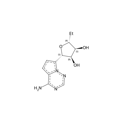 CC[C@H]1O[C@@H](c2ccc3c(N)ncnn23)[C@H](O)[C@@H]1O